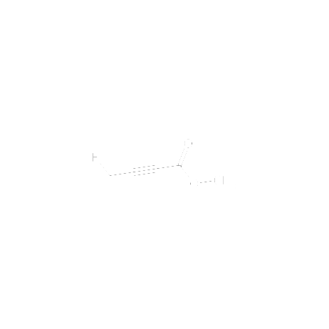 COC(=O)C#CCF